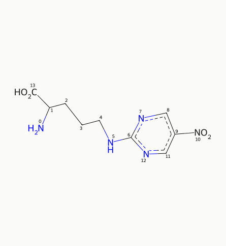 NC(CCCNc1ncc([N+](=O)[O-])cn1)C(=O)O